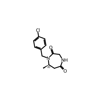 C[C@@H]1CC(=O)NCC(=O)N1Cc1ccc(Cl)cc1